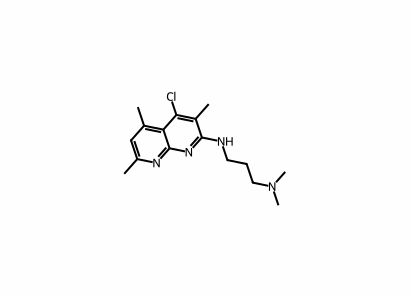 Cc1cc(C)c2c(Cl)c(C)c(NCCCN(C)C)nc2n1